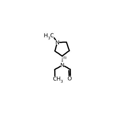 CCN(C=O)[C@H]1CCN(C)C1